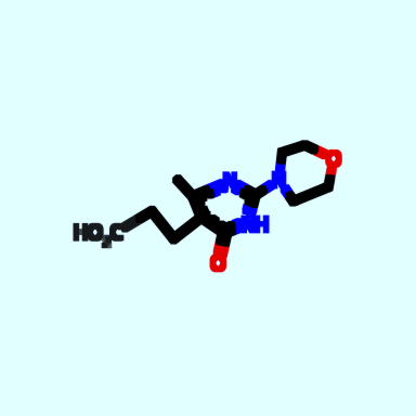 Cc1nc(N2CCOCC2)[nH]c(=O)c1CCC(=O)O